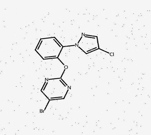 Clc1cnn(-c2ccccc2Oc2ncc(Br)cn2)c1